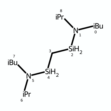 CCC(C)N([SiH2]C[SiH2]N(C(C)C)C(C)CC)C(C)C